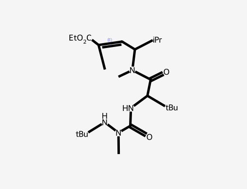 CCOC(=O)/C(C)=C/C(C(C)C)N(C)C(=O)C(NC(=O)N(C)NC(C)(C)C)C(C)(C)C